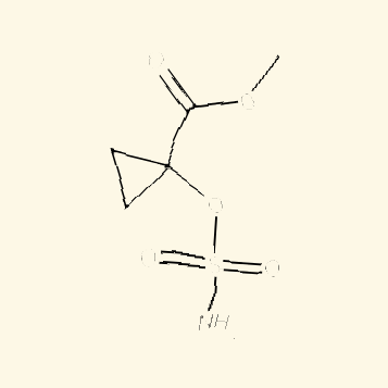 COC(=O)C1(OS(N)(=O)=O)CC1